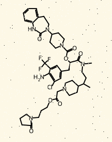 CC(CCN(C)C(=O)[C@@H](Cc1cc(Cl)c(N)c(C(F)(F)F)c1)OC(=O)N1CCC(N2CCc3ccccc3NC2=O)CC1)C1CCN(CC(=O)OCCCN2CCCC2=O)CC1